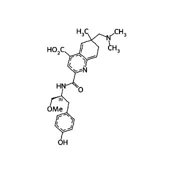 COC[C@H](Cc1ccc(O)cc1)NC(=O)c1cc(C(=O)O)c2c(n1)=CCC(C)(CN(C)C)C=2